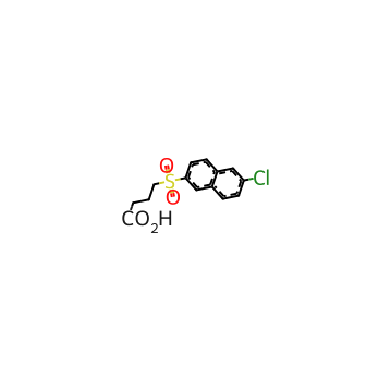 O=C(O)CCCS(=O)(=O)c1ccc2cc(Cl)ccc2c1